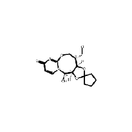 O=c1ccn2c(n1)OC[C@H](CCl)[C@H]1OC3(CCCC3)O[C@H]1[C@H]2O